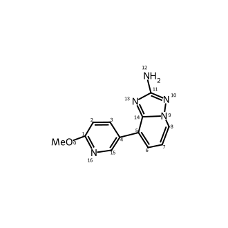 COc1ccc(-c2cccn3nc(N)nc23)cn1